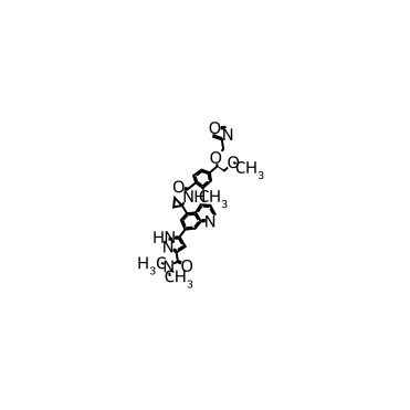 COC[C@H](OCc1cocn1)c1ccc(C(=O)NC2(c3cc(-c4cc(C(=O)N(C)C)n[nH]4)cc4ncccc34)CC2)c(C)c1